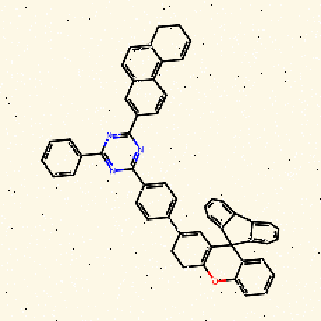 C1=Cc2c(ccc3cc(-c4nc(-c5ccccc5)nc(-c5ccc(C6=CC7=C(CC6)Oc6ccccc6C76c7ccccc7-c7ccccc76)cc5)n4)ccc23)CC1